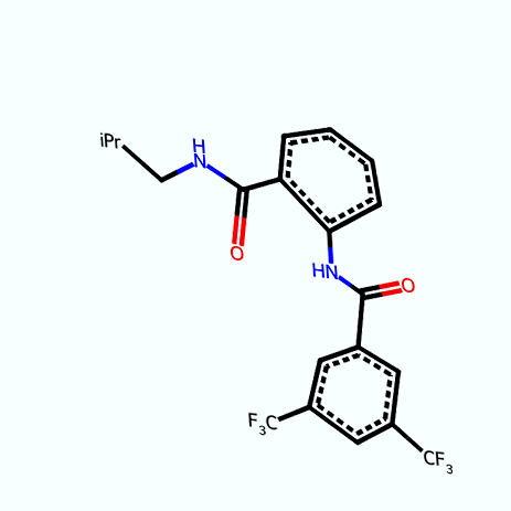 CC(C)CNC(=O)c1ccccc1NC(=O)c1cc(C(F)(F)F)cc(C(F)(F)F)c1